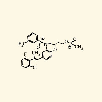 CC(=Cc1ccc2c(c1)N(S(=O)(=O)c1cccc(C(F)(F)F)c1)C[C@H](CCOS(C)(=O)=O)O2)c1c(F)cccc1Cl